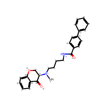 CCCN(CCCCNC(=O)c1ccc(-c2ccccc2)cc1)[C@@H]1COc2ccccc2C1=O